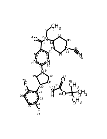 CCN(C(=O)c1cnc(N2C[C@H](NC(=O)OC(C)(C)C)[C@@H](c3cc(F)ccc3F)C2)nc1)C1CCN(C#N)CC1